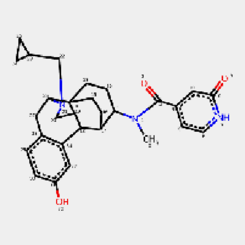 CN(C(=O)c1cc[nH]c(=O)c1)C1CCC23CCC1C21CCN(CC2CC2)C3Cc2ccc(O)cc21